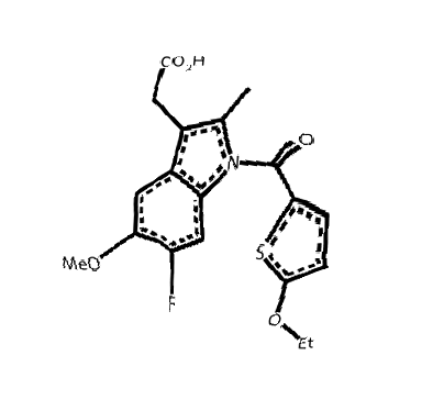 CCOc1ccc(C(=O)n2c(C)c(CC(=O)O)c3cc(OC)c(F)cc32)s1